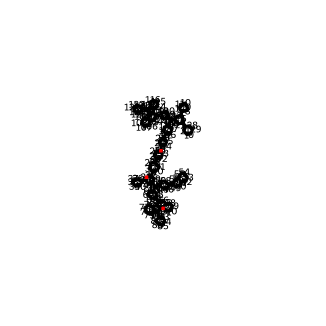 c1ccc(-c2cc(-c3ccccc3)cc(N(c3ccc(-c4ccc(-c5ccc(-c6ccc(-c7cc(-c8ccccc8)cc(N(c8ccc(-c9ccc%10ccccc%10c9)cc8)c8cccc(-c9cc%10ccccc%10c%10c9c9ccccc9n%10-c9ccccc9)c8)c7)cc6)cc5)cc4)cc3)c3cccc(-c4cc5ccccc5c5c4c4ccccc4n5-c4ccccc4)c3)c2)cc1